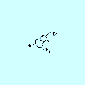 FC(F)(F)c1cc(Br)cc2cc(CBr)sc12